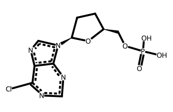 O=P(O)(O)OC[C@@H]1CC[C@H](n2cnc3c(Cl)ncnc32)O1